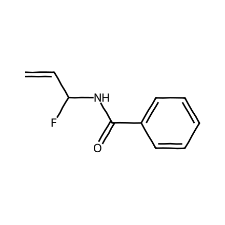 C=CC(F)NC(=O)c1ccccc1